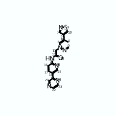 C=NN(/C=C(\C)c1cnsc1)CC(=O)Nc1ccc(-c2cnccn2)cn1